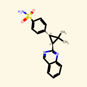 CC1(C)[C@@H](c2ccc(S(N)(=O)=O)cc2)[C@@H]1c1ncc2ccccc2n1